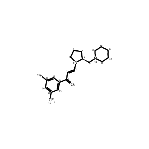 O=C(/C=C/N1CCC[C@H]1CN1CCCCC1)c1cc(F)cc(C(F)(F)F)c1